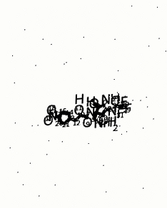 NCC(=O)C(CN)(NC(=O)C(O)Cc1ccc([N+](=O)[O-])cc1)C(=O)CNC(=O)C(F)(F)F